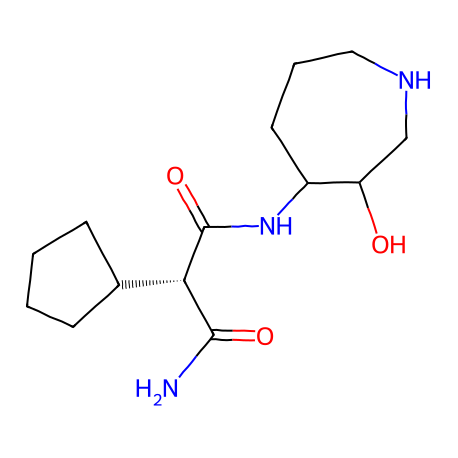 NC(=O)[C@@H](C(=O)NC1CCCNCC1O)C1CCCC1